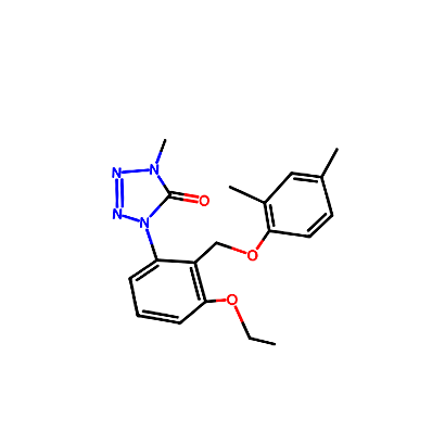 CCOc1cccc(-n2nnn(C)c2=O)c1COc1ccc(C)cc1C